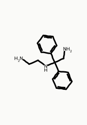 NCCNC(CN)(c1ccccc1)c1ccccc1